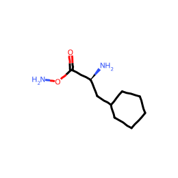 NOC(=O)[C@@H](N)CC1CCCCC1